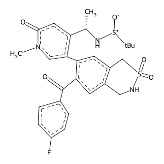 C[C@H](N[S+]([O-])C(C)(C)C)c1cc(=O)n(C)cc1-c1cc2c(cc1C(=O)c1ccc(F)cc1)CNS(=O)(=O)C2